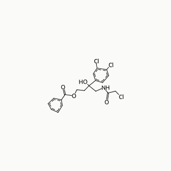 O=C(CCl)NCC(O)(CCOC(=O)c1ccccc1)c1ccc(Cl)c(Cl)c1